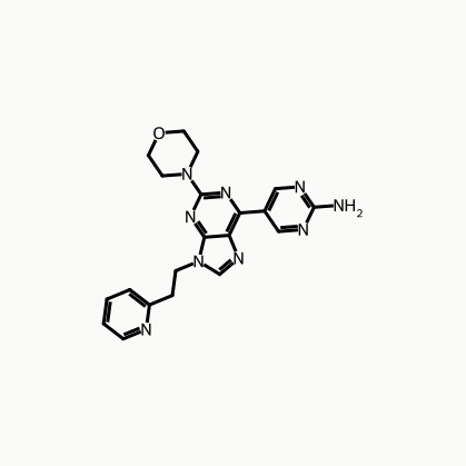 Nc1ncc(-c2nc(N3CCOCC3)nc3c2ncn3CCc2ccccn2)cn1